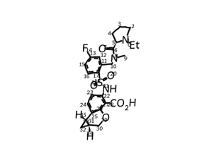 CCN1CCC[C@@H]1C(=O)N(C)Cc1cc(F)ccc1S(=O)(=O)Nc1ccc2c(c1C(=O)O)OC[C@@H]1C[C@H]21